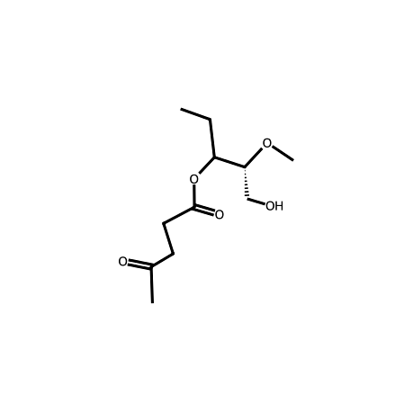 CCC(OC(=O)CCC(C)=O)[C@@H](CO)OC